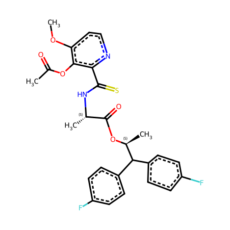 COc1ccnc(C(=S)N[C@@H](C)C(=O)O[C@@H](C)C(c2ccc(F)cc2)c2ccc(F)cc2)c1OC(C)=O